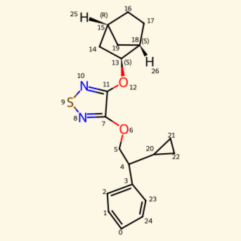 c1ccc(C(COc2nsnc2O[C@H]2C[C@@H]3CC[C@H]2C3)C2CC2)cc1